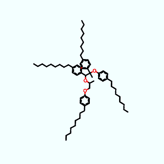 CCCCCCCCCc1ccc(OCC(C)OC(c2ccc(CCCCCCCCC)cc2)C(C)(Oc2ccc(CCCCCCCCC)cc2)c2ccc(CCCCCCCCC)cc2)cc1